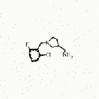 NCC1CCN(Cc2c(F)cccc2Cl)C1